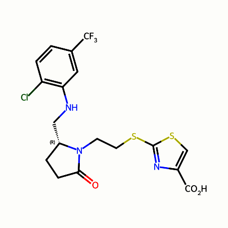 O=C(O)c1csc(SCCN2C(=O)CC[C@@H]2CNc2cc(C(F)(F)F)ccc2Cl)n1